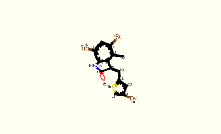 Cc1c(Br)cc(Br)c2c1C(=Cc1cc(Br)cs1)C(=O)N2